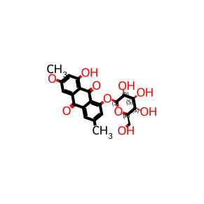 COc1cc(O)c2c(c1)C(=O)c1cc(C)cc(O[C@@H]3O[C@H](CO)[C@@H](O)[C@H](O)[C@H]3O)c1C2=O